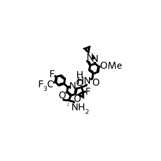 COc1cc(C(=O)NC[C@](O)(c2cc3c(c(-c4ccc(F)c(C(F)(F)F)c4)n2)OC[C@]3(C)C(N)=O)C2(F)CC2)cc2cn(C3CC3)nc12